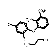 NCCO.O=C(O)c1cccc(Oc2ccc(Cl)cc2Cl)c1[N+](=O)[O-]